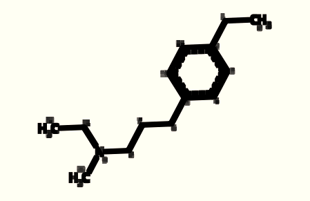 CCc1ccc(CCCN(C)CC)cc1